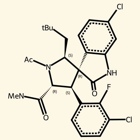 CNC(=O)[C@H]1[C@H](c2cccc(Cl)c2F)[C@]2(C(=O)Nc3cc(Cl)ccc32)[C@H](CC(C)(C)C)N1C(C)=O